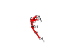 CCCCCCCCCOC(=O)CCCCCCCN(CCO)CCCCCCCC(=O)OC(CC)(CCCCCCCC)CCCCCCCC